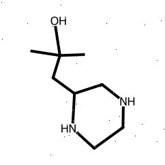 CC(C)(O)CC1CNCCN1